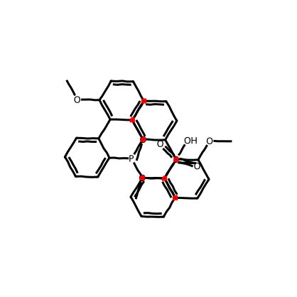 COc1cccc(OC)c1-c1ccccc1P(c1ccccc1-c1c(OC)cccc1OC)c1ccccc1S(=O)(=O)O